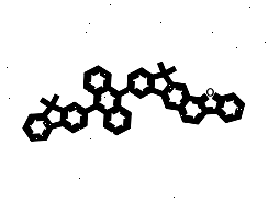 CC1(C)c2ccccc2-c2ccc(-c3c4ccccc4c(-c4ccc5c(c4)-c4cc6ccc7c8ccccc8oc7c6cc4C5(C)C)c4ccccc34)cc21